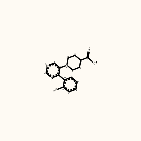 O=C(O)C1CCN(c2cncnc2-c2ccccc2F)CC1